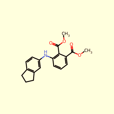 COC(=O)c1cccc(Nc2ccc3c(c2)CCC3)c1C(=O)OC